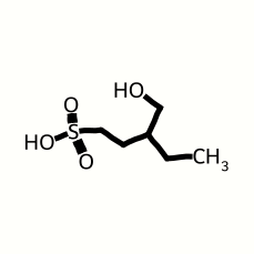 CCC(CO)CCS(=O)(=O)O